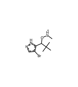 C[SiH](C)OC(c1[nH]ncc1Br)C(C)(C)C